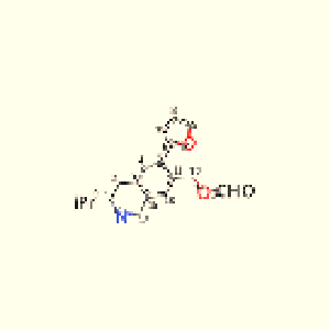 CC(C)C1Cc2cc(-c3ccco3)c(COC=O)cc2C=N1